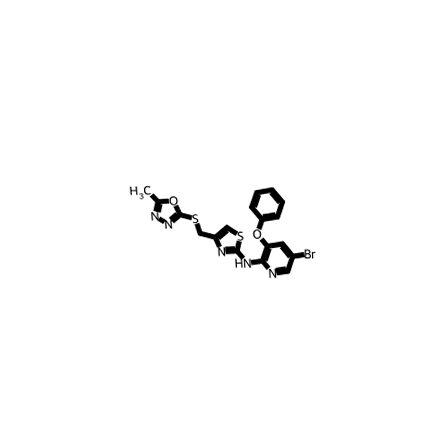 Cc1nnc(SCc2csc(Nc3ncc(Br)cc3Oc3ccccc3)n2)o1